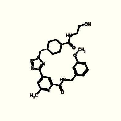 COc1cccc(CNC(=O)c2cc(-c3nnn(C[C@H]4CC[C@H](C(=O)NCCO)CC4)n3)cc(C)n2)c1